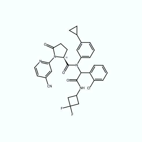 N#Cc1ccnc(N2C(=O)CC[C@H]2C(=O)N(c2cccc(C3CC3)c2)C(C(=O)NC2CC(F)(F)C2)c2ccccc2Cl)c1